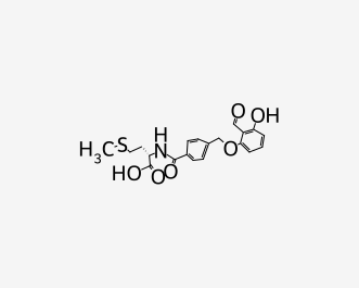 CSCC[C@H](NC(=O)c1ccc(COc2cccc(O)c2C=O)cc1)C(=O)O